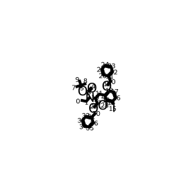 CCN(C(=O)OC(C)(C)C)C(Cc1cc(I)ccc1OCc1ccccc1)C(=O)OCc1ccccc1